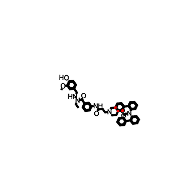 CCN(NCc1ccc(O)c(OC)c1)C(=O)c1cccc(NC(=O)CCN2CCC(OC(=O)N(c3ccccc3-c3ccccc3)c3ccccc3-c3ccccc3)CC2)c1